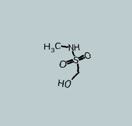 CNS(=O)(=O)CO